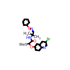 CSC(Oc1ccc2ncc(Br)cc2c1)C(=O)NC(C)(C)/C=N\Oc1ccccc1